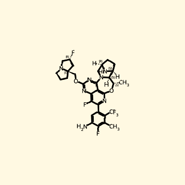 Cc1c(F)c(N)cc(-c2nc3c4c(nc(OC[C@@]56CCCN5C[C@H](F)C6)nc4c2F)N2C[C@H]4CC[C@H](N4)[C@H]2[C@H](C)O3)c1C(F)(F)F